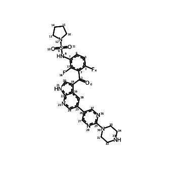 O=C(c1c(F)ccc(NS(=O)(=O)N2CCCC2)c1F)c1c[nH]c2ncc(-c3cnc(N4CCNCC4)nc3)cc12